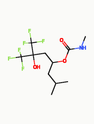 CNC(=O)OC(CC(C)C)CC(O)(C(F)(F)F)C(F)(F)F